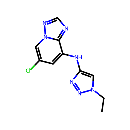 CCn1cc(Nc2cc(Cl)cn3ncnc23)nn1